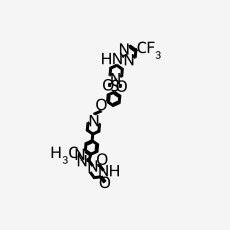 Cn1nc(N2CCC(=O)NC2=O)c2ccc(C3CCN(CCOc4cccc(S(=O)(=O)N5CCC(Nc6ncc(C(F)(F)F)cn6)CC5)c4)CC3)cc21